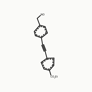 CCOC(=O)c1ccc(C#Cc2ccc(CN=O)cc2)cc1